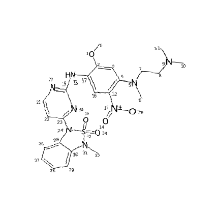 COc1cc(N(C)CCN(C)C)c([N+](=O)[O-])cc1Nc1nccc(N2c3ccccc3N(C)S2(=O)=O)n1